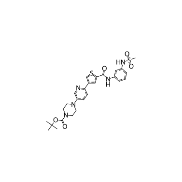 CC(C)(C)OC(=O)N1CCN(c2ccc(-c3csc(C(=O)Nc4cccc(NS(C)(=O)=O)c4)c3)nc2)CC1